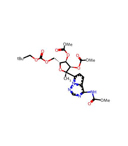 COC(=O)Nc1ncnn2c([C@]3(C)O[C@H](COC(=O)OCC(C)(C)C)[C@@H](OC(=O)OC)[C@H]3OC(=O)OC)ccc12